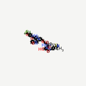 Cc1ncsc1-c1ccc(CNC(=O)[C@@H]2C[C@@H](O)CN2C(=O)[C@@H](NC(=O)CCOCC2CCN(c3ncc(C(=O)Nc4ccc(OC(F)(F)Cl)cc4)cc3-c3ccnn3C3CCCCO3)CC2)C(C)(C)C)cc1